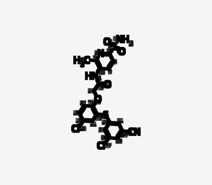 Cc1nc(S(N)(=O)=O)ccc1NC(=O)COc1ccc(Cl)cc1Sc1cc(Cl)cc(C#N)c1